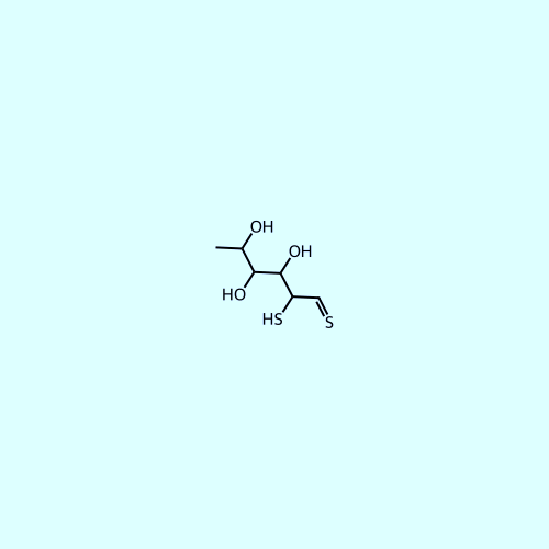 CC(O)C(O)C(O)C(S)C=S